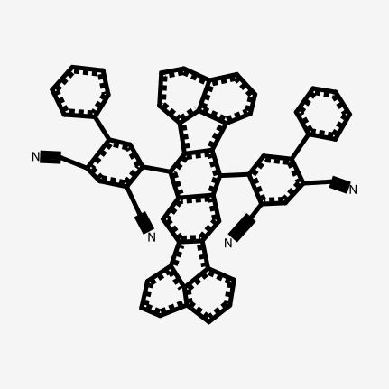 N#Cc1cc(C#N)c(-c2c3cc4c(cc3c(-c3cc(-c5ccccc5)c(C#N)cc3C#N)c3c5cccc6cccc(c23)c65)c2cccc3cccc4c32)cc1-c1ccccc1